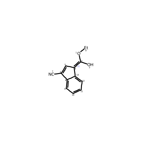 CCO/C(O)=C1\C=C(C#N)c2ccccc21